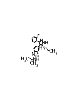 CCCNc1[nH]nc(-c2ccccc2F)c1-c1ccc2nc(NC(C)CC)sc2c1